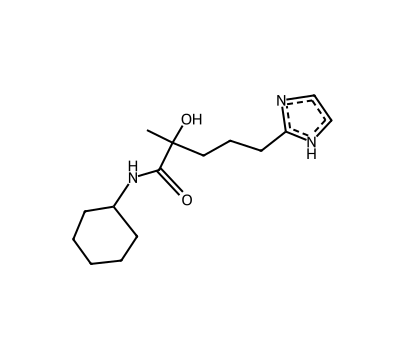 CC(O)(CCCc1ncc[nH]1)C(=O)NC1CCCCC1